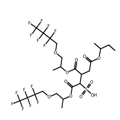 CCC(C)OC(=O)CC(C(=O)OC(C)COCC(F)(F)C(F)(F)C(F)(F)F)C(C(=O)OC(C)COCC(F)(F)C(F)(F)C(F)(F)F)S(=O)(=O)O